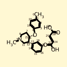 Cc1ccc(O[C@H]2CCN(C)C[C@H]2c2ccccc2)cc1.O=C(O)C=CC(=O)O